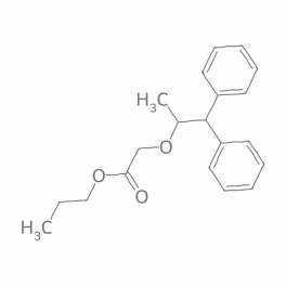 CCCOC(=O)COC(C)C(c1ccccc1)c1ccccc1